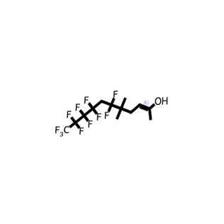 C/C(O)=C\CC(C)(C)C(F)(F)CC(F)(F)C(F)(F)C(F)(F)C(F)(F)F